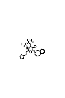 CC(C)C[C@H](NC(=O)CCC1CCCC1)C(=O)CN1CCCc2ccccc2C1